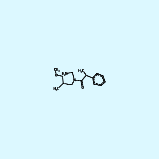 COCC(C)CN(CN)C(=O)C(C)c1ccccc1